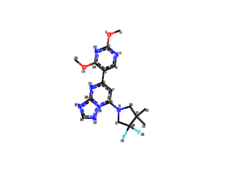 COc1ncc(-c2cc(N3CC(C)(C)C(F)(F)C3)n3ncnc3n2)c(OC)n1